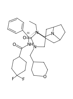 CCN1C(=O)N(CC2CCOCC2)CC12CC1CCC(C2)N1CC[C@H](NC(=O)C1CCC(F)(F)CC1)c1ccccc1